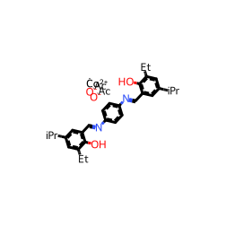 CC(=O)[O-].CC(=O)[O-].CCc1cc(C(C)C)cc(C=Nc2ccc(N=Cc3cc(C(C)C)cc(CC)c3O)cc2)c1O.[Co+2]